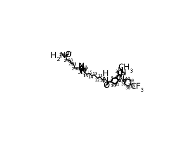 Cn1cc2c3cc(C(=O)NCCCCCCCn4cc(CCCCCC(N)=O)nn4)ccc3n(C3=CCC(C(F)(F)F)CC3)c2n1